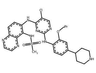 CC(C)Oc1cc(C2CCNCC2)ccc1Nc1ncc(Cl)c(Nc2ccc3nccnc3c2NS(C)(=O)=O)n1